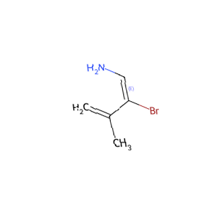 C=C(C)/C(Br)=C\N